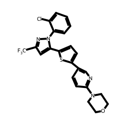 FC(F)(F)c1cc(-c2ccc(-c3ccc(N4CCOCC4)nc3)s2)n(-c2ccccc2Cl)n1